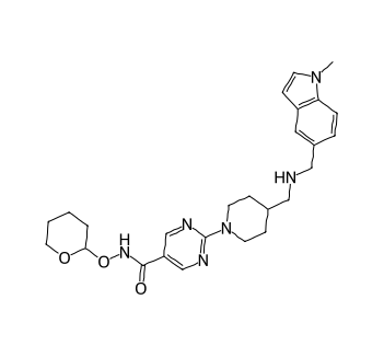 Cn1ccc2cc(CNCC3CCN(c4ncc(C(=O)NOC5CCCCO5)cn4)CC3)ccc21